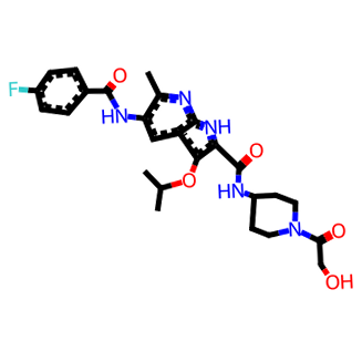 Cc1nc2[nH]c(C(=O)NC3CCN(C(=O)CO)CC3)c(OC(C)C)c2cc1NC(=O)c1ccc(F)cc1